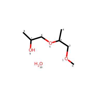 COCC(C)OCC(C)O.O